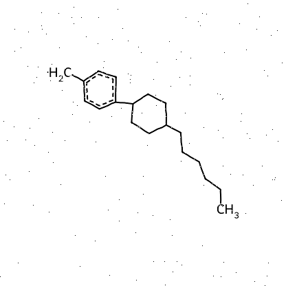 [CH2]c1ccc(C2CCC(CCCCCC)CC2)cc1